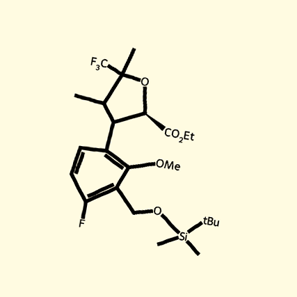 CCOC(=O)[C@@H]1OC(C)(C(F)(F)F)C(C)C1c1ccc(F)c(CO[Si](C)(C)C(C)(C)C)c1OC